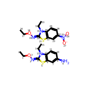 CCON=c1sc2cc(N)ccc2n1CC.CCON=c1sc2cc([N+](=O)[O-])ccc2n1CC